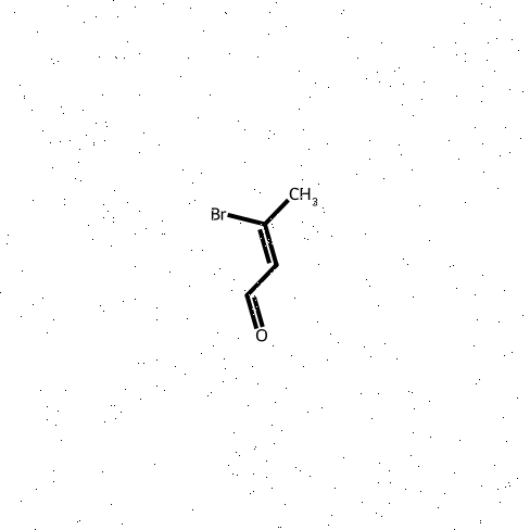 C/C(Br)=C/C=O